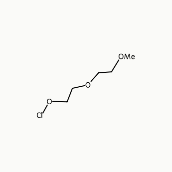 COCCOCCOCl